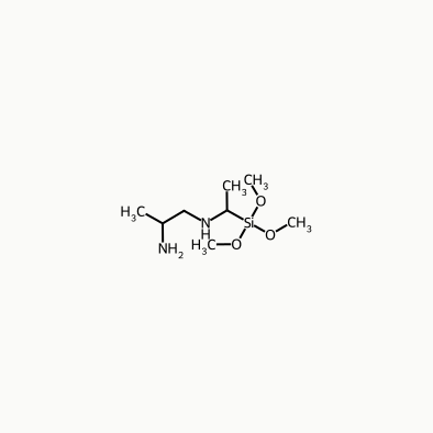 CO[Si](OC)(OC)C(C)NCC(C)N